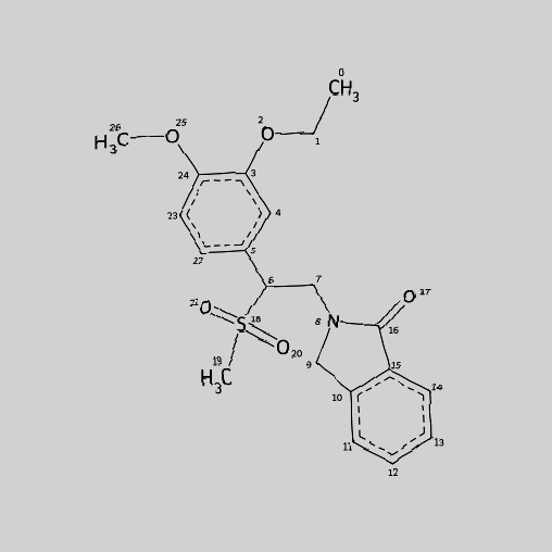 CCOc1cc(C(CN2Cc3ccccc3C2=O)S(C)(=O)=O)ccc1OC